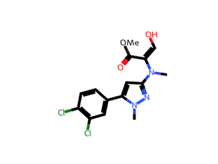 COC(=O)C(=CO)N(C)c1cc(-c2ccc(Cl)c(Cl)c2)n(C)n1